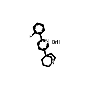 Br.Fc1ccccc1-c1ccc(C23CCCN(CC2)C3)cn1